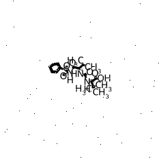 CC(C)[C@H](NC(=O)N[C@H](C(=O)O)C(C)(C)C)C(=O)NS(=O)(=O)c1ccccc1